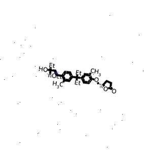 CCCCCCCCC(O)(/C=C/c1ccc(C(CC)(CC)c2ccc(OC[C@@H]3CCC(=O)O3)c(C)c2)cc1C)CC